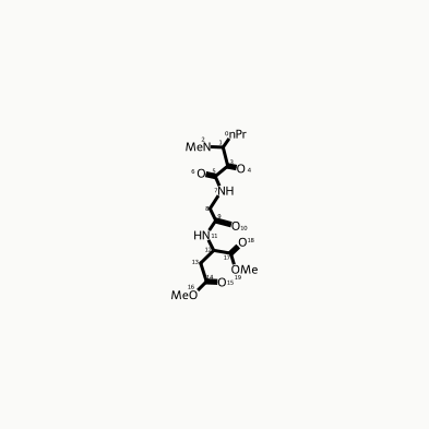 CCCC(NC)C(=O)C(=O)NCC(=O)NC(CC(=O)OC)C(=O)OC